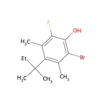 CCC(C)(C)c1c(C)c(F)c(O)c(Br)c1C